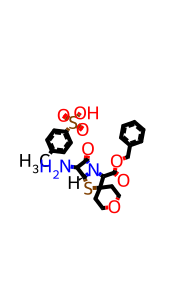 Cc1ccc(S(=O)(=O)O)cc1.NC1C(=O)N2C(C(=O)OCc3ccccc3)C3(CCOCC3)S[C@@H]12